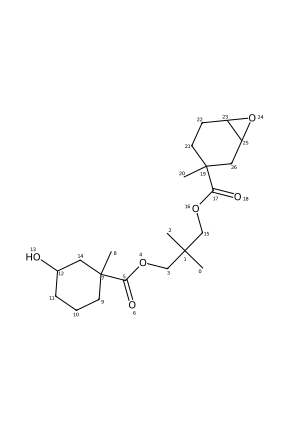 CC(C)(COC(=O)C1(C)CCCC(O)C1)COC(=O)C1(C)CCC2OC2C1